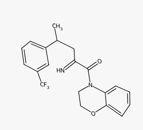 CC(CC(=N)C(=O)N1CCOc2ccccc21)c1cccc(C(F)(F)F)c1